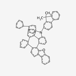 CC1(C)c2ccccc2-c2ccc(N(c3ccc(-c4ccccc4)cc3)c3cccc4c3-c3ccccc3-c3ccccc3-c3ccc5c(oc6ccccc65)c3-4)cc21